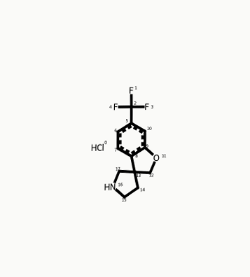 Cl.FC(F)(F)c1ccc2c(c1)OCC21CCNC1